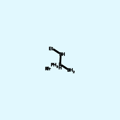 BBBCC.P.[Rh]